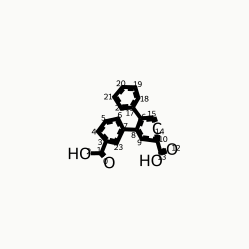 O=C(O)c1cccc(-c2cc(C(=O)O)ccc2-c2ccccc2)c1